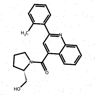 Cc1ccccc1-c1cc(C(=O)N2CCC[C@H]2CO)c2ccccc2n1